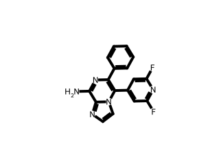 Nc1nc(-c2ccccc2)c(-c2cc(F)nc(F)c2)n2ccnc12